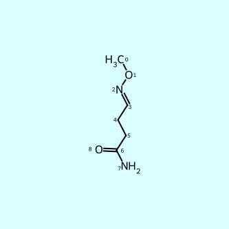 CON=CCCC(N)=O